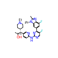 CCN1CCC([C@H](c2ccc(Nc3ncc(F)c(-c4cc(F)c5nc(C)n(C(C)C)c5c4)n3)nc2)[C@H](C)O)CC1